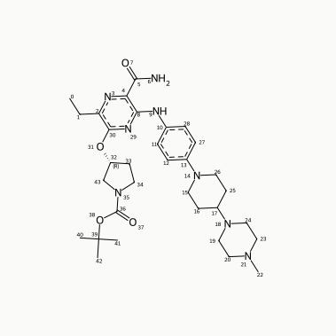 CCc1nc(C(N)=O)c(Nc2ccc(N3CCC(N4CCN(C)CC4)CC3)cc2)nc1O[C@@H]1CCN(C(=O)OC(C)(C)C)C1